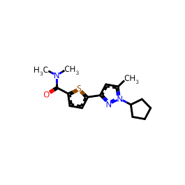 Cc1cc(-c2ccc(C(=O)N(C)C)s2)nn1C1CCCC1